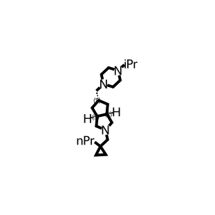 CCCC1(CN2C[C@H]3C[C@H](CN4CCN(C(C)C)CC4)C[C@H]3C2)CC1